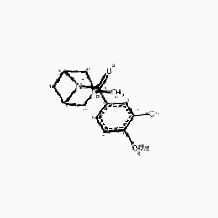 COc1ccc(C(=O)N2C3CC2CN(C)C3)cc1Cl